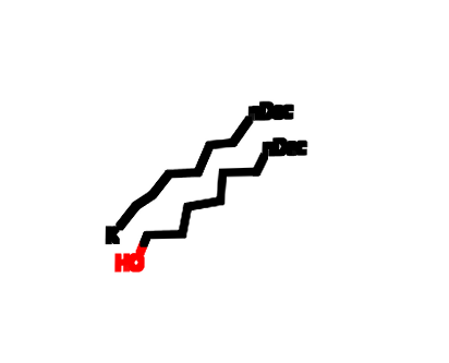 CCCCCCCCCCCCCCCCO.CCCCCCCCCCCCCCC[CH2][K]